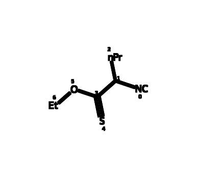 [C-]#[N+]C(CCC)C(=S)OCC